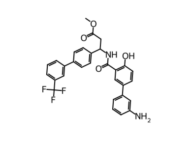 COC(=O)CC(NC(=O)c1cc(-c2cccc(N)c2)ccc1O)c1ccc(-c2cccc(C(F)(F)F)c2)cc1